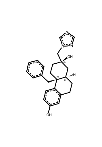 Oc1ccc2c(c1)CC[C@@H]1C[C@@](O)(Cn3cncn3)CC[C@@]21Cc1ccccc1